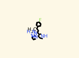 C=C(/C=C(/C1CCCNC1)N(N)c1ncccn1)c1ccc(F)cc1